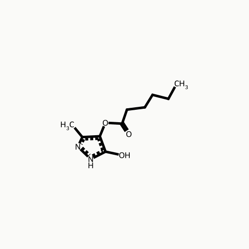 CCCCCC(=O)Oc1c(C)n[nH]c1O